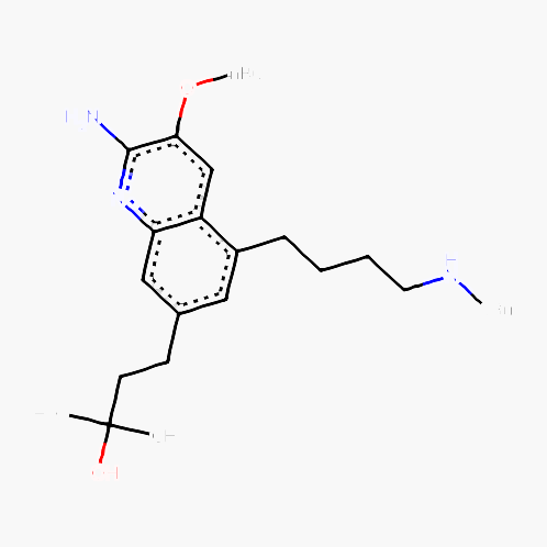 CCCCOc1cc2c(CCCCNC(C)(C)C)cc(CCC(C)(C)O)cc2nc1N